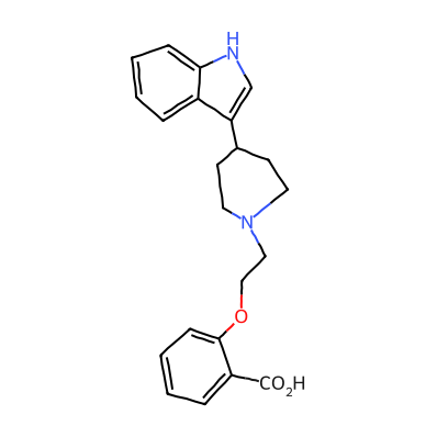 O=C(O)c1ccccc1OCCN1CCC(c2c[nH]c3ccccc23)CC1